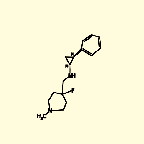 CN1CCC(F)(CN[C@@H]2C[C@H]2c2ccccc2)CC1